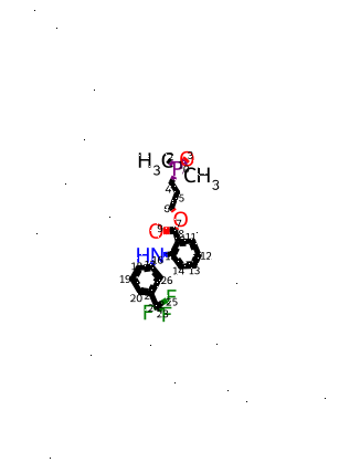 CP(C)(=O)CCCOC(=O)c1ccccc1Nc1cccc(C(F)(F)F)c1